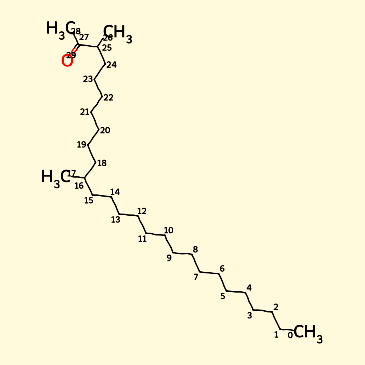 CCCCCCCCCCCCCCCCC(C)CCCCCCCC(C)C(C)=O